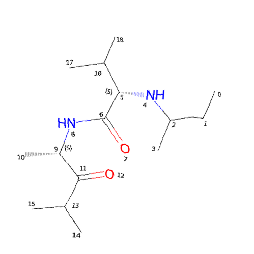 CCC(C)N[C@H](C(=O)N[C@@H](C)C(=O)C(C)C)C(C)C